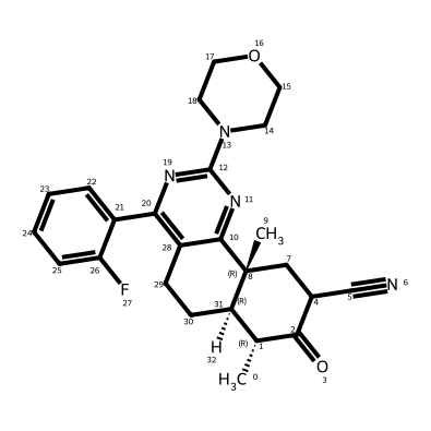 C[C@H]1C(=O)C(C#N)C[C@@]2(C)c3nc(N4CCOCC4)nc(-c4ccccc4F)c3CC[C@H]12